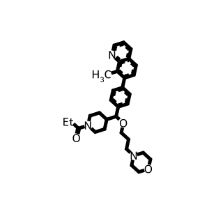 CCC(=O)N1CCC(C(OCCCN2CCOCC2)c2ccc(-c3ccc4cccnc4c3C)cc2)CC1